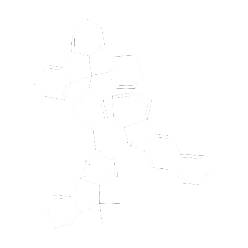 CC1(C)c2ccccc2-c2nc(-c3ccc4c(c3)-c3ccccc3C43c4ccccc4-c4ccccc43)c(-n3c4ccccc4c4cc5ccccc5cc43)nc21